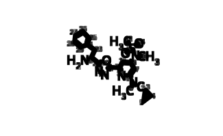 CN(CC1CC1)c1cc(N(C)S(C)(=O)=O)cc(-c2nnc([C@H](N)Cc3ccccc3)o2)n1